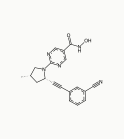 C[C@H]1C[C@@H](C#Cc2cccc(C#N)c2)N(c2ncc(C(=O)NO)cn2)C1